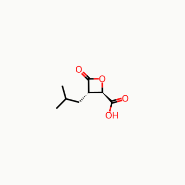 CC(C)C[C@@H]1C(=O)O[C@H]1C(=O)O